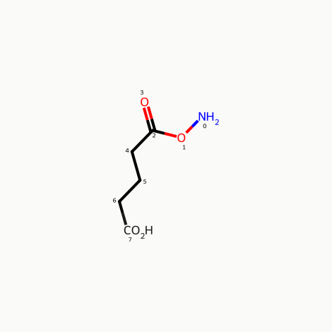 NOC(=O)CCCC(=O)O